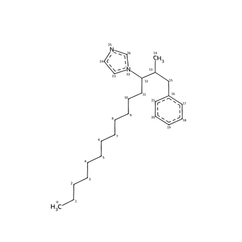 CCCCCCCCCCCCC(C(C)Cc1ccccc1)n1ccnc1